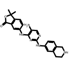 CC1(C)OC(=O)c2cc(Nc3nc(Nc4ccc5c(c4)CCNC5)ncc3N)ccc21